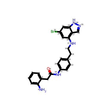 Nc1ccccc1CC(=O)Nc1ccc(CCNc2cc(Br)cc3[nH]ncc23)cc1